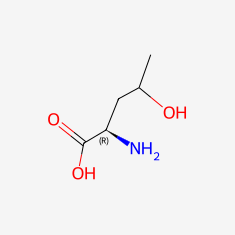 CC(O)C[C@@H](N)C(=O)O